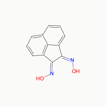 ON=C1C(=NO)c2cccc3cccc1c23